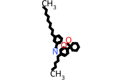 CCCCCCCCCCc1ccc(OC(=O)C2(c3ccc(CCCCCC)cc3)CCCCC2)c(C#N)c1